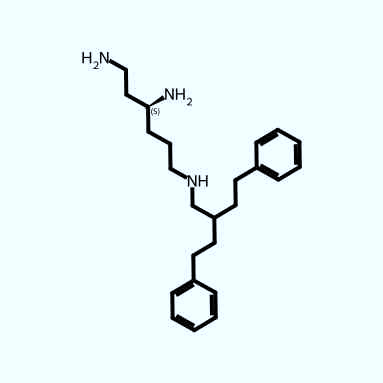 NCC[C@@H](N)CCCNCC(CCc1ccccc1)CCc1ccccc1